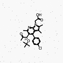 CC(=O)[C@@H](OC(C)(C)C)c1c(C)nc2c(c(C)c(C)n2CC(=O)O)c1-c1ccc(Cl)cc1